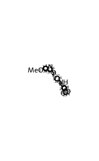 COc1ccc2ncc(OC[C@H]3CC[C@H](NCc4ccc5c(c4)OCCO5)CC3)cc2c1